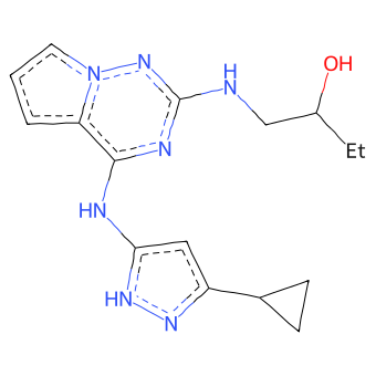 CCC(O)CNc1nc(Nc2cc(C3CC3)n[nH]2)c2cccn2n1